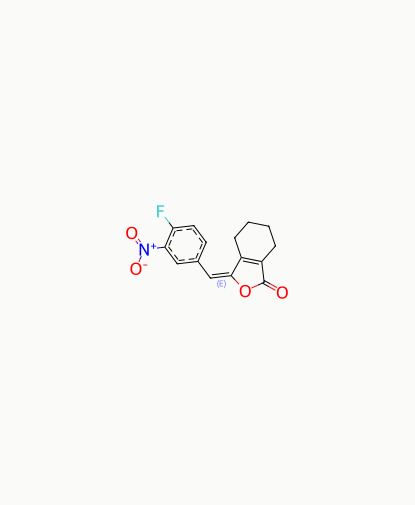 O=C1O/C(=C/c2ccc(F)c([N+](=O)[O-])c2)C2=C1CCCC2